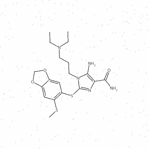 CCN(CC)CCCn1c(Sc2cc3c(cc2SC)OCO3)nc(C(N)=O)c1N